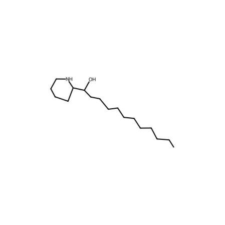 CCCCCCCCCCCC(O)C1CCCCN1